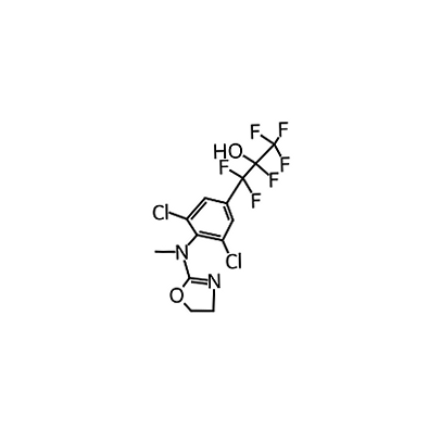 CN(C1=NCCO1)c1c(Cl)cc(C(F)(F)C(O)(F)C(F)(F)F)cc1Cl